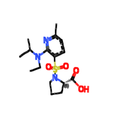 CCN(c1nc(C)ccc1S(=O)(=O)N1CCC[C@H]1C(=O)O)C(C)C